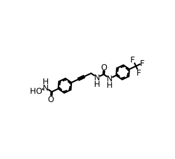 O=C(NCC#Cc1ccc(C(=O)NO)cc1)Nc1ccc(C(F)(F)F)cc1